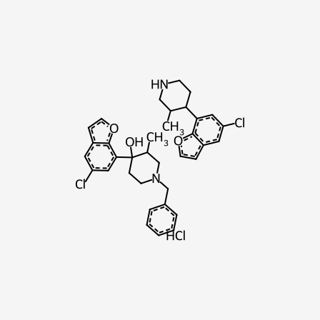 CC1CN(Cc2ccccc2)CCC1(O)c1cc(Cl)cc2ccoc12.CC1CNCCC1c1cc(Cl)cc2ccoc12.Cl